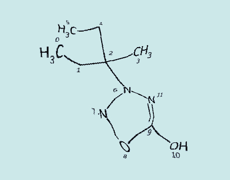 CCC(C)(CC)N1[N]OC(O)=N1